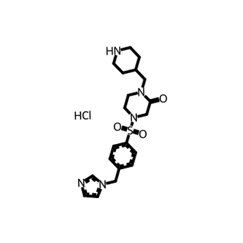 Cl.O=C1CN(S(=O)(=O)c2ccc(Cn3ccnc3)cc2)CCN1CC1CCNCC1